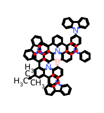 CC(C)(C)c1cc(-c2ccccc2)c(N2c3cc(-n4c5ccccc5c5ccccc54)ccc3B3c4ccc(N(c5ccccc5)c5ccc(-n6c7ccccc7c7ccccc76)cc5)cc4N(c4c(-c5ccccc5)cccc4-c4ccccc4)c4cc(-n5c6ccccc6c6ccccc65)cc2c43)c(-c2ccccc2)c1